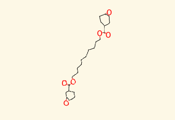 O=C(OCCCCCCCCCCOC(=O)C1CCC2OC2C1)C1CCC2OC2C1